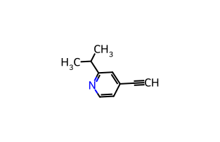 C#Cc1ccnc(C(C)C)c1